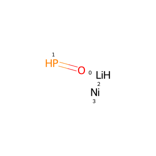 O=P.[LiH].[Ni]